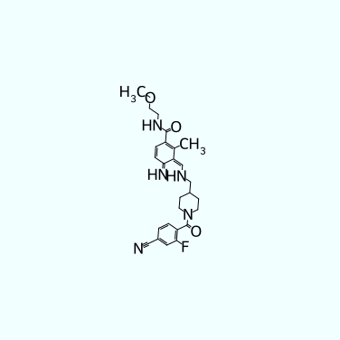 COCCNC(=O)C1=C(C)/C(=C/NCC2CCN(C(=O)c3ccc(C#N)cc3F)CC2)C(=N)C=C1